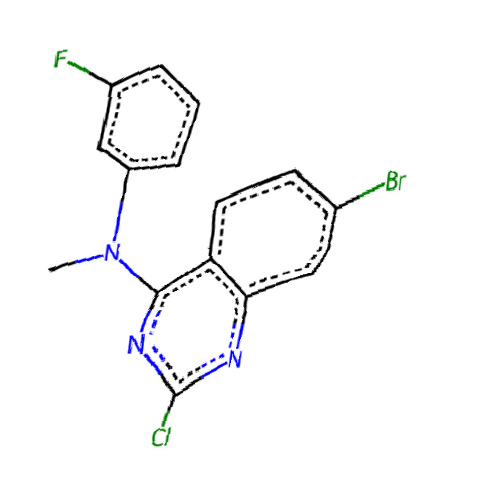 CN(c1cccc(F)c1)c1nc(Cl)nc2cc(Br)ccc12